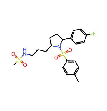 Cc1ccc(S(=O)(=O)N2C(CCCNS(C)(=O)=O)CCC2c2ccc(F)cc2)cc1